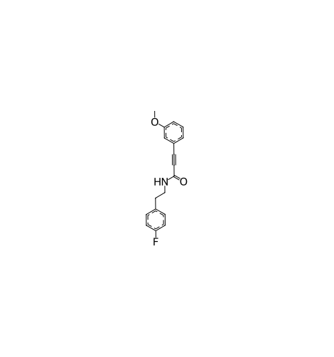 COc1cccc(C#CC(=O)NCCc2ccc(F)cc2)c1